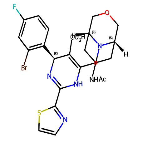 CC(=O)NC1C[C@H]2COC[C@@H](C1)N2CC1=C(C(=O)O)[C@H](c2ccc(F)cc2Br)N=C(c2nccs2)N1